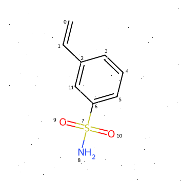 C=Cc1cccc(S(N)(=O)=O)c1